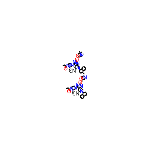 C=CC(=O)N1CCN(c2nc(OC[C@H]3CN(C)[C@H](Cc4ccc(N5CCc6c(nc(OC[C@H]7CN(C)C(C)(C)CO7)nc6N6CCN(C(=O)C=C)[C@@H](CC#N)C6)C5)c5ccccc45)CO3)nc3c2CCN(c2cccc4ccccc24)C3)C[C@@H]1CC#N